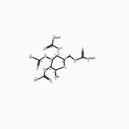 CCCCCC(=O)OC[C@H]1O[C@@H](O)[C@@H](OC(=O)CC)[C@@H](OC(=O)CC)[C@@H]1OC(=O)CCCCC